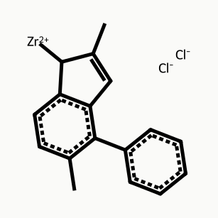 CC1=Cc2c(ccc(C)c2-c2ccccc2)[CH]1[Zr+2].[Cl-].[Cl-]